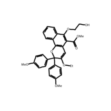 CCOC1=Cc2c(C(=O)OC)c(OCCO)c3ccccc3c2OC1(c1ccc(OC)cc1)c1ccc(OC)cc1